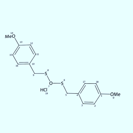 COc1ccc(CSOSCc2ccc(OC)cc2)cc1.Cl